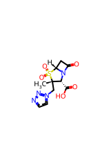 C[C@]1(Cn2ccnn2)[C@@H](C(=O)O)N2C(=O)C[C@H]2S1(=O)=O